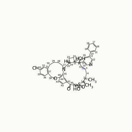 C[C@@H]1[C@@H](C)C/C=C/[C@@](O)(c2cncc(-c3ccccc3)c2)[C@@H]2CC[C@H]2CN2CCCCc3cc(Cl)ccc3COc3ccc(cc32)C(=O)NS1(=O)=O